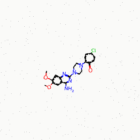 COc1cc2nc(N3CCN(c4ccc(Cl)ccc4=O)CC3)nc(N)c2cc1OC